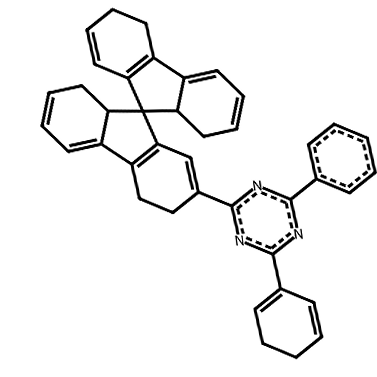 C1=CCC2C(=C1)C1=C(C=CCC1)C21C2=C(CCC(c3nc(C4=CCCC=C4)nc(-c4ccccc4)n3)=C2)C2=CC=CCC21